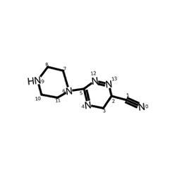 N#CC1CN=C(N2CCNCC2)N=N1